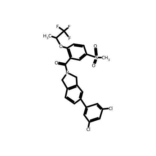 CC(Oc1ccc(S(C)(=O)=O)cc1C(=O)N1Cc2ccc(-c3cc(Cl)cc(Cl)c3)cc2C1)C(F)(F)F